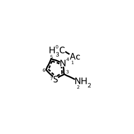 CC(C)=O.Nc1nccs1